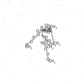 CCCCCCCC(=O)OC(C)(C)CC(C)(C)CC(=O)N[C@@H](CSSC[C@H](NC(=O)CC(C)C)C(=O)OCCOCCOCCOC)C(=O)OCCOCCOCCOC